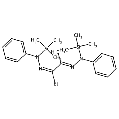 CCC(=NN(c1ccccc1)[Si](C)(C)C)C(C)=NN(c1ccccc1)[Si](C)(C)C